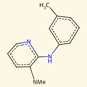 CNc1cccnc1Nc1cccc(C)c1